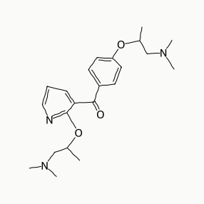 CC(CN(C)C)Oc1ccc(C(=O)c2cccnc2OC(C)CN(C)C)cc1